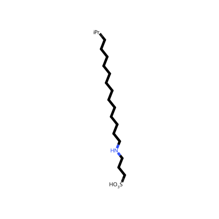 CC(C)CCCCCCCCCCCCCNCCCS(=O)(=O)O